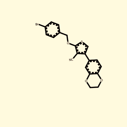 N#Cc1c(-c2ccc3c(c2)OCCO3)csc1OCc1ccc(Br)cc1